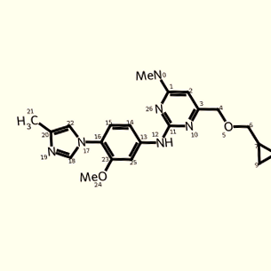 CNc1cc(COCC2CC2)nc(Nc2ccc(-n3cnc(C)c3)c(OC)c2)n1